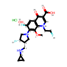 COc1c(N2C[C@H](CNC3CC3)[C@H](F)C2)c(F)cc2c(=O)c(C(=O)O)cn(CCF)c12.Cl.O